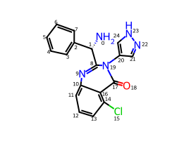 N[C@@H](c1ccccc1)c1nc2cccc(Cl)c2c(=O)n1-c1cn[nH]c1